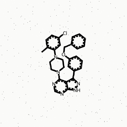 Cc1ccc(Cl)cc1N1CCN(c2ncnc3[nH]nc(-c4cccc(OCc5ccccc5)c4)c23)CC1